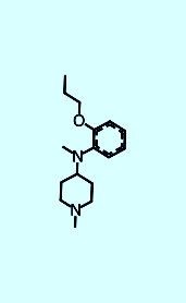 CCCOc1ccccc1N(C)C1CCN(C)CC1